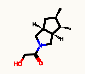 C[C@@H]1[C@H]2CN(C(=O)CO)C[C@H]2C[C@H]1C